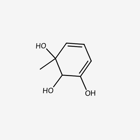 CC1(O)C=CC=C(O)C1O